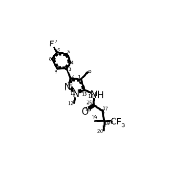 Cc1c(-c2ccc(F)cc2)nn(C)c1NC(=O)CC(C)(C)C(F)(F)F